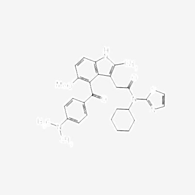 COc1ccc2[nH]c(C)c(CC(=O)N(c3nccs3)C3CCCCC3)c2c1C(=O)c1ccc(N(C)C)cc1